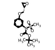 CC(C)(C)OC(=O)N(c1cccc(OC[C@@H]2CO2)c1)S(C)(=O)=O